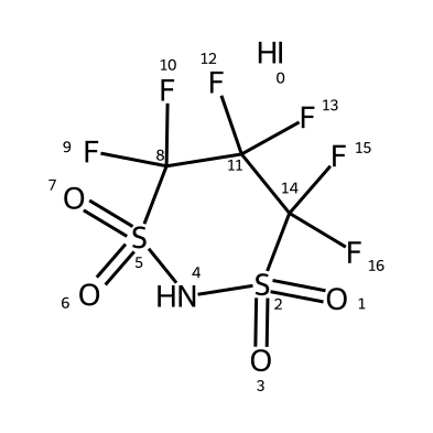 I.O=S1(=O)NS(=O)(=O)C(F)(F)C(F)(F)C1(F)F